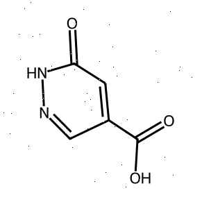 O=C(O)c1cn[nH]c(=O)c1